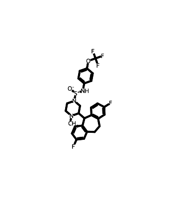 CN1CCN([S+]([O-])Nc2ccc(OC(F)(F)F)cc2)CC1C1c2ccc(F)cc2CCc2cc(F)ccc21